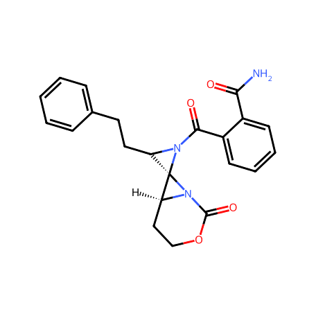 NC(=O)c1ccccc1C(=O)N1C(CCc2ccccc2)[C@]12[C@@H]1CCOC(=O)N12